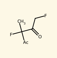 CC(=O)C(C)(F)C(=O)CF